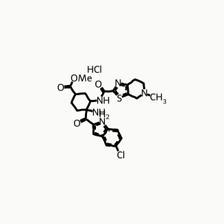 COC(=O)C1CCC(N)(C(=O)c2cc3cc(Cl)ccc3[nH]2)C(NC(=O)c2nc3c(s2)CN(C)CC3)C1.Cl